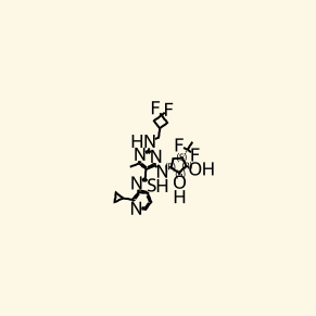 Cc1nc(NCC2CC(F)(F)C2)nc(N[C@@H]2C[C@H](C(C)(F)F)[C@@H](O)[C@H]2O)c1-c1nc2c(C3CC3)nccc2s1